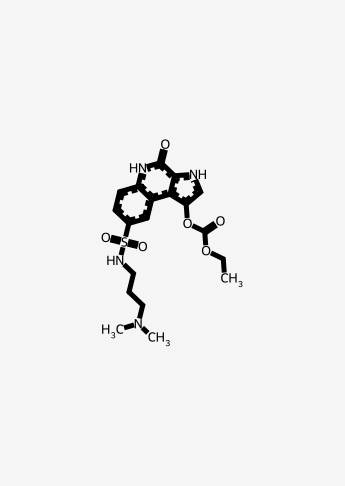 CCOC(=O)Oc1c[nH]c2c(=O)[nH]c3ccc(S(=O)(=O)NCCCN(C)C)cc3c12